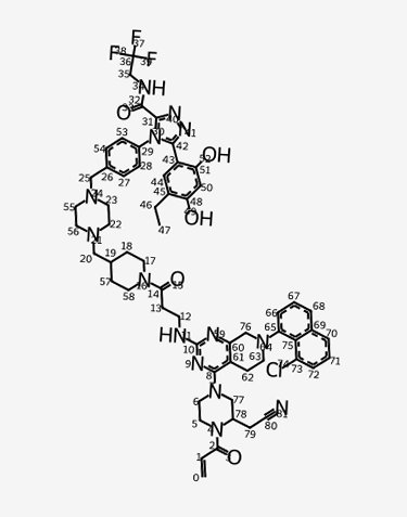 C=CC(=O)N1CCN(c2nc(NCCC(=O)N3CCC(CN4CCN(Cc5ccc(-n6c(C(=O)NCC(F)(F)F)nnc6-c6cc(CC)c(O)cc6O)cc5)CC4)CC3)nc3c2CCN(c2cccc4cccc(Cl)c24)C3)CC1CC#N